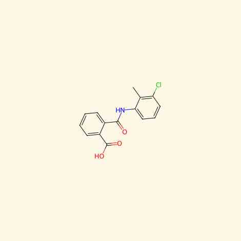 Cc1c(Cl)cccc1NC(=O)c1ccccc1C(=O)O